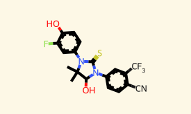 CC1(C)C(O)N(c2ccc(C#N)c(C(F)(F)F)c2)C(=S)N1c1ccc(O)c(F)c1